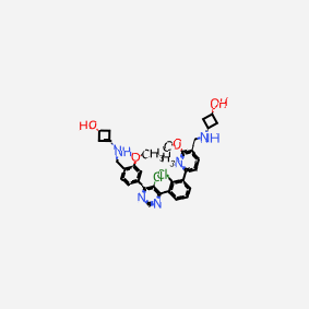 COc1cc(-c2ncnc(-c3cccc(-c4ccc(CN[C@H]5C[C@H](O)C5)c(OC)n4)c3Cl)c2Cl)ccc1CN[C@H]1C[C@@H](O)C1